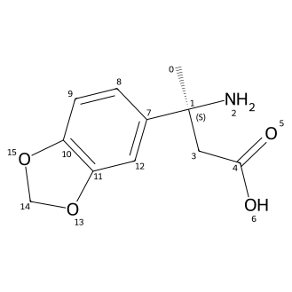 C[C@](N)(CC(=O)O)c1ccc2c(c1)OCO2